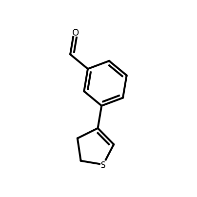 O=Cc1cccc(C2=CSCC2)c1